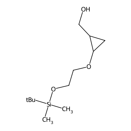 CC(C)(C)[Si](C)(C)OCCOC1CC1CO